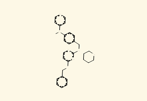 CN(c1ccncc1)c1ccc(CN(c2nccc(OCc3ccccc3)n2)[C@H]2CCCNC2)cc1